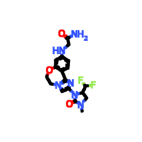 CN1CC(C(F)F)N(c2cn3c(n2)-c2ccc(NCC(N)=O)cc2OCC3)C1=O